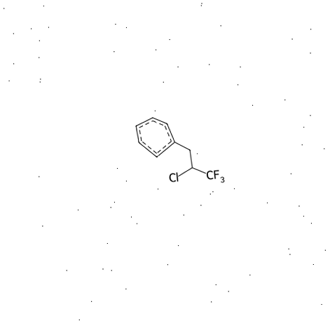 FC(F)(F)C(Cl)Cc1ccccc1